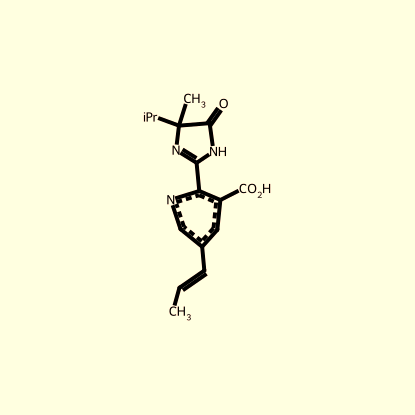 CC=Cc1cnc(C2=NC(C)(C(C)C)C(=O)N2)c(C(=O)O)c1